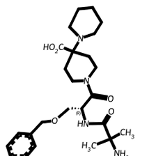 CC(C)(N)C(=O)N[C@H](COCc1ccccc1)C(=O)N1CCC(C(=O)O)(N2CCCCC2)CC1